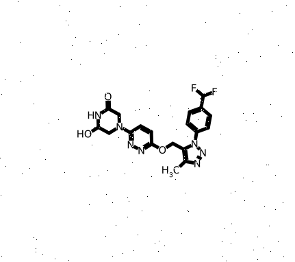 Cc1nnn(-c2ccc(C(F)F)cc2)c1COc1ccc(N2CC(=O)NC(O)C2)nn1